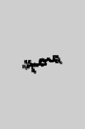 CC(C)/C=N/c1ccc(/N=C/C(C)(C)C)cc1